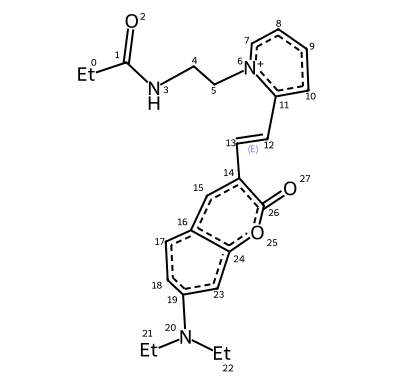 CCC(=O)NCC[n+]1ccccc1/C=C/c1cc2ccc(N(CC)CC)cc2oc1=O